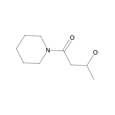 CC([O])CC(=O)N1CCCCC1